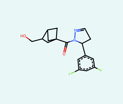 O=C(N1N=CCC1c1cc(F)cc(F)c1)C12CC(CO)C(C1)C2